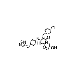 O=C(O)Cn1c(=O)[nH]/c(=N\c2ccc(Oc3cnsn3)cc2)n(Cc2ccc(Cl)cc2)c1=O